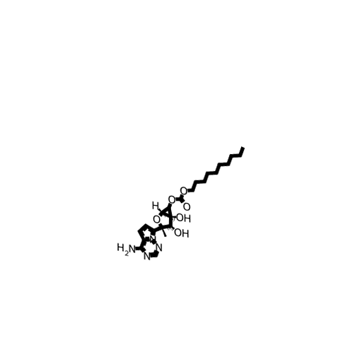 CCCCCCCCCCOC(=O)OC1[C@H]2O[C@@](C)(c3ccc4c(N)ncnn34)[C@H](O)[C@@]12O